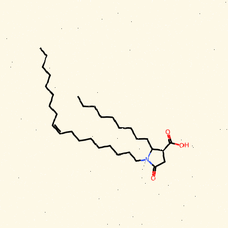 CCCCCCCC/C=C\CCCCCCCCN1C(=O)CC(C(=O)O)C1CCCCCCCCC